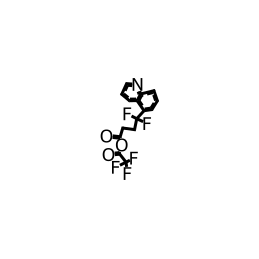 O=C(CCC(F)(F)c1cccc2ncccc12)OC(=O)C(F)(F)F